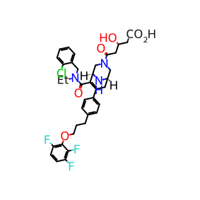 CCN(Cc1ccccc1Cl)C(=O)C1=C(c2ccc(CCCOc3c(F)ccc(F)c3F)cc2)C[C@@H]2CN(C(=O)C[C@@H](O)CC(=O)O)C[C@H]1N2